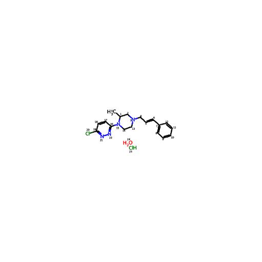 CC1CN(C/C=C/c2ccccc2)CCN1c1ccc(Cl)nn1.Cl.O